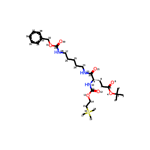 CC(C)(C)OC(=O)CC[C@H](NC(=O)OCCS(C)(C)C)C(=O)NCCCCCNC(=O)OCc1ccccc1